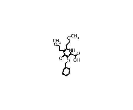 COCCc1[nH]c(C(=O)O)c(OCc2ccccc2)c(=O)c1CCOC